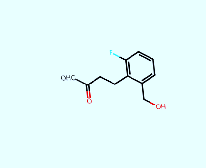 O=CC(=O)CCc1c(F)cccc1CO